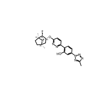 Cc1nnn(-c2ccc(-c3ccc(O[C@@H]4C[C@@]5(C)CC[C@@](C)([C@H]4F)N5C)nn3)c(O)c2)n1